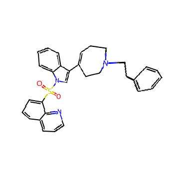 O=S(=O)(c1cccc2cccnc12)n1cc(C2=CCCN(CCc3ccccc3)CC2)c2ccccc21